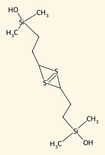 C[Si](C)(O)CCC1S2=S1C2CC[Si](C)(C)O